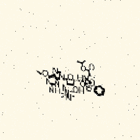 CCOc1nc(N)nc2c1ncn2[C@@H]1O[C@H](COP(=O)(N[C@@H](C)C(=O)OC(C)C)Oc2ccccc2)[C@@H](O)[C@H]1N=[N+]=[N-]